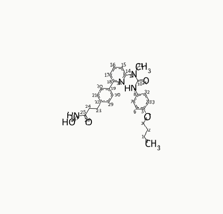 CCCCOc1ccc(NC(=O)N(C)c2cccc(-c3ccc(CCC(=O)NO)cc3)n2)cc1